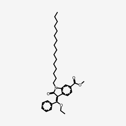 CCCCCCCCCCCCCCCCN1C(=O)C(=C(OCC)c2ccccc2)c2ccc(C(=O)OC)cc21